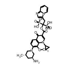 COc1c(N2C[C@@H](C)C[C@H](N)C2)ccc2c(=O)c(C(=O)OC(Cc3cnc4ccccn34)(P(=O)(O)O)P(=O)(O)O)cn(C3CC3)c12